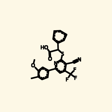 COc1cc(-c2cc(C(F)(F)F)c(C#N)c(SC(C(=O)O)c3ccccc3)n2)ccc1C